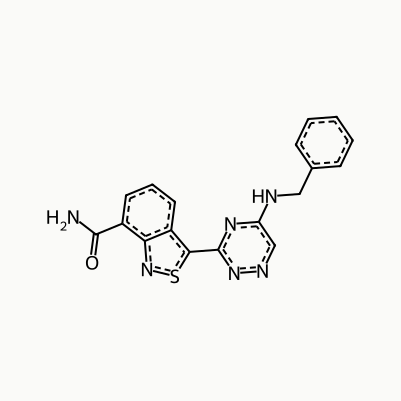 NC(=O)c1cccc2c(-c3nncc(NCc4ccccc4)n3)snc12